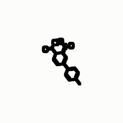 Cc1ccc(C2=CC(=S(=O)=O)C(C(=O)Cl)C=C2)cc1